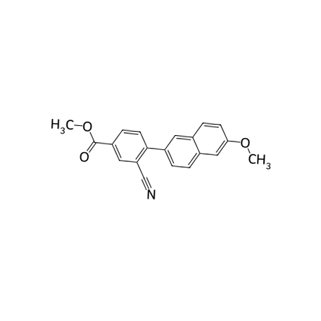 COC(=O)c1ccc(-c2ccc3cc(OC)ccc3c2)c(C#N)c1